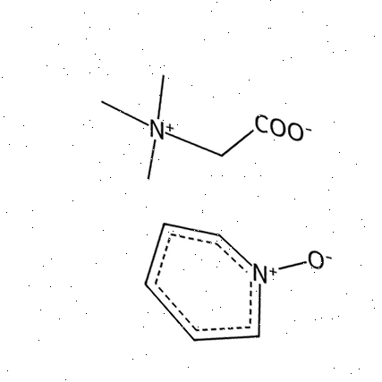 C[N+](C)(C)CC(=O)[O-].[O-][n+]1ccccc1